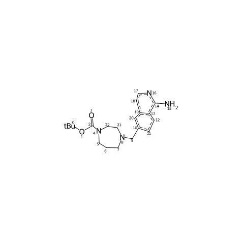 CC(C)(C)OC(=O)N1CCCN(Cc2ccc3c(N)nccc3c2)CC1